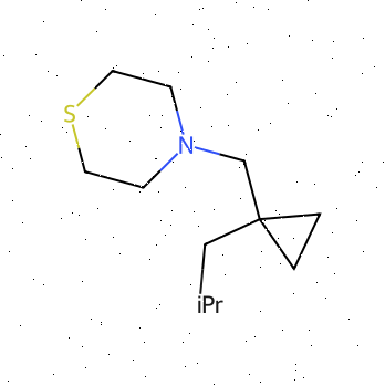 CC(C)CC1(CN2CCSCC2)CC1